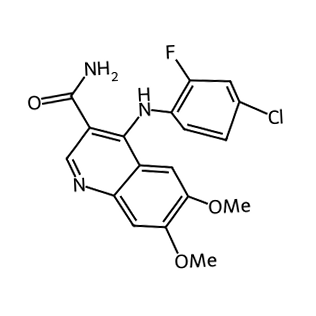 COc1cc2ncc(C(N)=O)c(Nc3ccc(Cl)cc3F)c2cc1OC